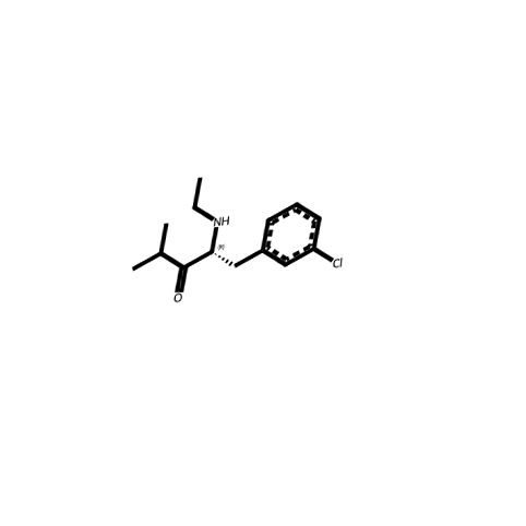 CCN[C@H](Cc1cccc(Cl)c1)C(=O)C(C)C